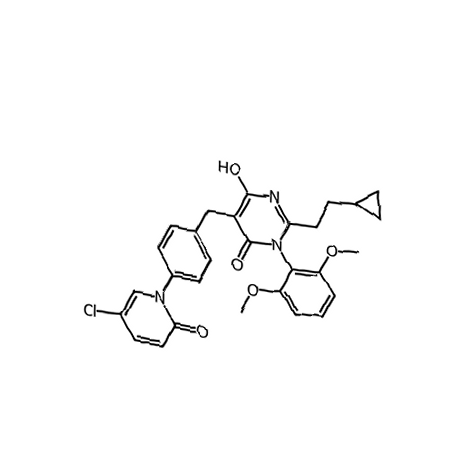 COc1cccc(OC)c1-n1c(CCC2CC2)nc(O)c(Cc2ccc(-n3cc(Cl)ccc3=O)cc2)c1=O